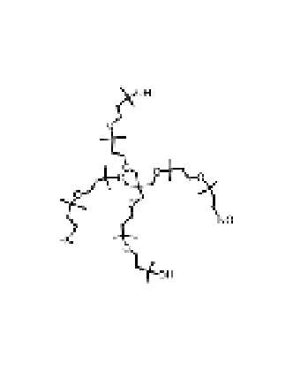 CC(C)(O)CCOC(C)(C)CCOCC(COCCC(C)(C)OCCC(C)(C)O)(COC(C)(C)CCOC(C)(C)CCO)COC(C)(C)CCOC(C)(C)CCN=O